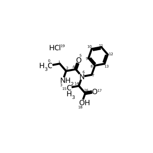 CCC(N)C(=O)N(Cc1ccccc1)C(C)C(=O)O.Cl